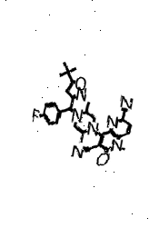 CC1CN(c2c(C#N)c(=O)n(C)c3ccc(C#N)nc23)[C@@H](C)CN1C(c1ccc(F)cc1)c1cc(C(C)(C)C)on1